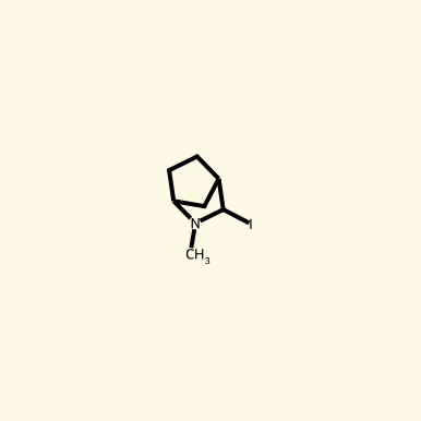 CN1C2CCC(C2)C1I